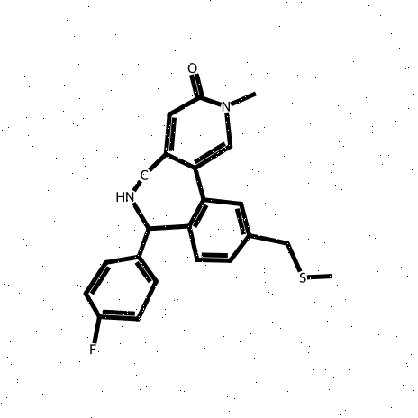 CSCc1ccc2c(c1)-c1cn(C)c(=O)cc1CNC2c1ccc(F)cc1